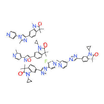 CC1(C)C(=O)N(C2CC2)c2cc(-c3cn(-c4ccncc4F)cn3)ccc21.Cc1cc(-c2cc(-c3ccc4c(c3)N(C3CC3)C(=O)C4(C)C)on2)ccn1.Cc1cc(-n2cnc(-c3ccc4c(c3)N(C3CC3)C(=O)C4(C)C)c2)ccn1.Cc1nc(-c2ccc3c(c2)N(C)C(=O)C3(C)C)cn1-c1ccncc1